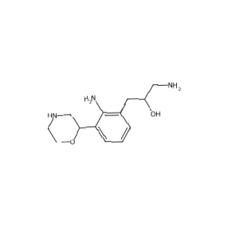 NCC(O)Cc1cccc(C2CNCCO2)c1N